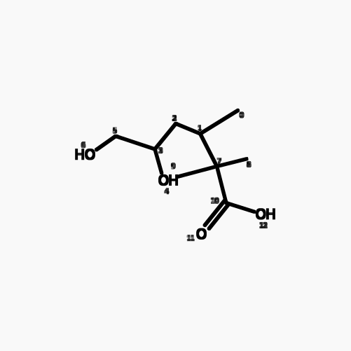 CC(CC(O)CO)C(C)(C)C(=O)O